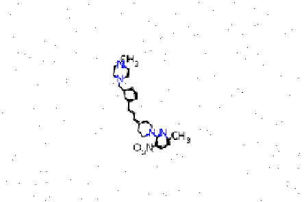 Cc1ccc([N+](=O)[O-])c(N2CCC(=CC=Cc3cccc(CN4CCN(C)CC4)c3)CC2)n1